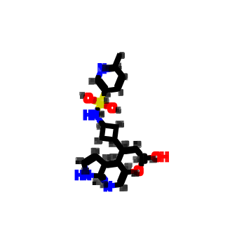 Cc1ccc(S(=O)(=O)NC2CC(C3=CB(O)Oc4cnc5[nH]ccc5c43)C2)cn1